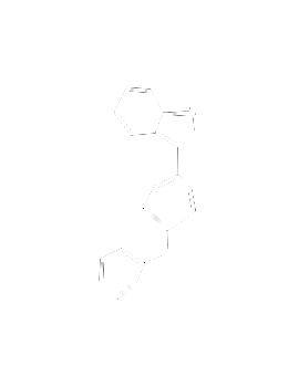 c1ccc(Sc2ccc(-c3onc4ccccc34)cc2)cc1